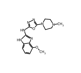 COc1cccc2[nH]c(Nc3nnc(N4CCN(C)CC4)o3)nc12